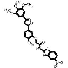 COc1cc(C2=NOC(c3ccc(C)c(OCC(=O)Nc4nc5cc([N+](=O)[O-])ccc5s4)c3)C2)cc(OC)c1OC